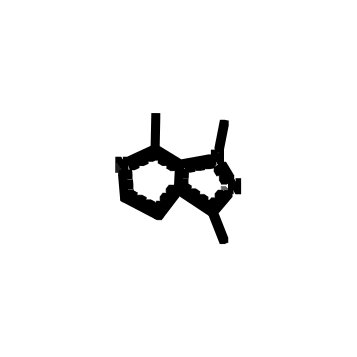 Cc1nn(C)c2c(C)nccc12